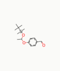 CC(Oc1ccc(C=O)cc1)O[Si](C)(C)C(C)(C)C